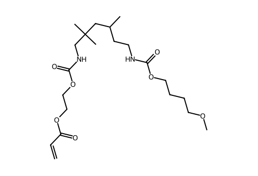 C=CC(=O)OCCOC(=O)NCC(C)(C)CC(C)CCNC(=O)OCCCCOC